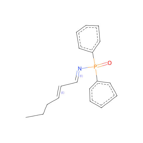 CCC/C=C/C=N/P(=O)(c1ccccc1)c1ccccc1